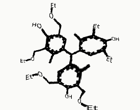 CCOCc1cc(C(c2cc(CC)c(O)c(CC)c2C)c2cc(COCC)c(O)c(COCC)c2C)c(C)c(COCC)c1O